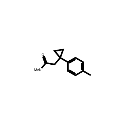 CNC(=O)CC1(c2ccc(C)cc2)CC1